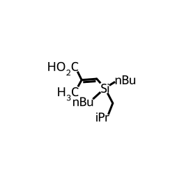 CCCC[Si](C=C(C)C(=O)O)(CCCC)CC(C)C